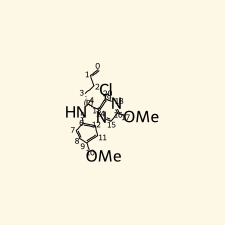 C=CCC[C@@H](Nc1ccc(OC)cc1)c1ncc(OC)nc1Cl